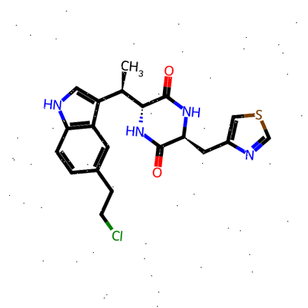 C[C@H](c1c[nH]c2ccc(CCCl)cc12)[C@H]1NC(=O)[C@H](Cc2cscn2)NC1=O